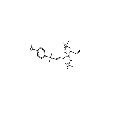 C=CC[Si](CC=C[Si](C)(C)c1ccc(OC)cc1)(O[Si](C)(C)C)O[Si](C)(C)C